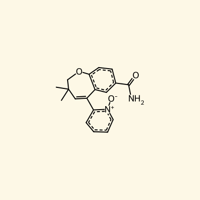 CC1(C)C=C(c2cccc[n+]2[O-])c2cc(C(N)=O)ccc2OC1